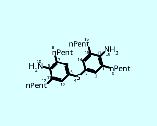 CCCCCc1cc(Sc2cc(CCCCC)c(N)c(CCCCC)c2)cc(CCCCC)c1N